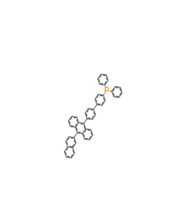 c1ccc(P(c2ccccc2)c2ccc(-c3ccc(-c4c5ccccc5c(-c5ccc6ccccc6c5)c5ccccc45)cc3)cc2)cc1